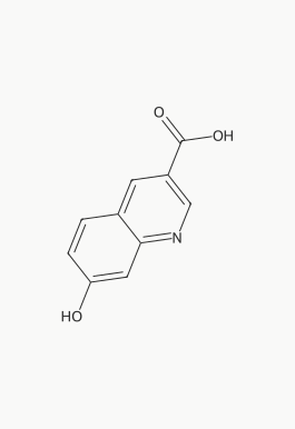 O=C(O)c1cnc2cc(O)ccc2c1